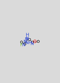 Fc1ccccc1-c1nccc2[nH]c(-c3n[nH]c4ccc(-c5cncc(OCc6ccccc6)c5)cc34)nc12